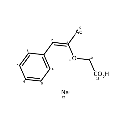 CC(=O)C(=Cc1ccccc1)OCC(=O)O.[Na]